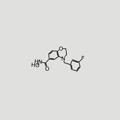 O=C(NO)c1ccc2c(c1)N(Cc1cccc(F)c1)CCO2